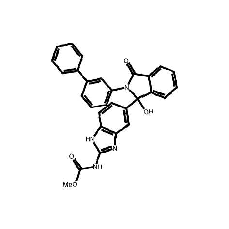 COC(=O)Nc1nc2cc(C3(O)c4ccccc4C(=O)N3c3cccc(-c4ccccc4)c3)ccc2[nH]1